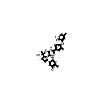 Cc1cc(Oc2c(F)cc(C(=O)N[C@H](C)C(=O)N3C(C(C)(C)C#N)CC[C@H]3c3ccc(F)c(Cl)c3)cc2F)c(=O)[nH]n1